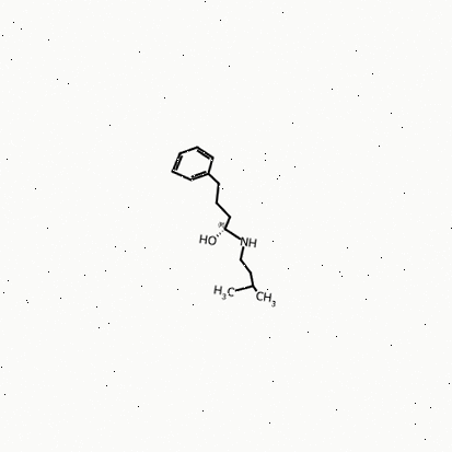 CC(C)CCN[C@H](O)CCCc1ccccc1